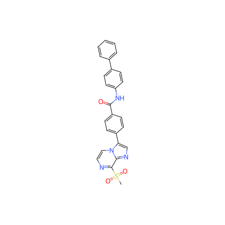 CS(=O)(=O)c1nccn2c(-c3ccc(C(=O)Nc4ccc(-c5ccccc5)cc4)cc3)cnc12